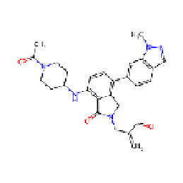 C=C(C=O)CN1Cc2c(-c3ccc4cnn(C)c4c3)ccc(NC3CCN(C(C)=O)CC3)c2C1=O